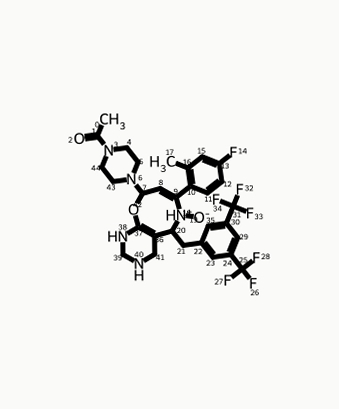 CC(=O)N1CCN(C2/C=C(/c3ccc(F)cc3C)[NH+]([O-])C(Cc3cc(C(F)(F)F)cc(C(F)(F)F)c3)C3=C(NCNC3)O2)CC1